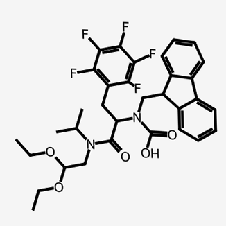 CCOC(CN(C(=O)C(Cc1c(F)c(F)c(F)c(F)c1F)N(CC1c2ccccc2-c2ccccc21)C(=O)O)C(C)C)OCC